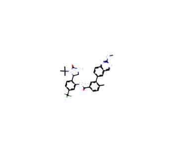 CNc1ncc2cc(-c3cc(C(=O)Nc4cc(C(F)(F)F)ccc4C4CNC(=O)N4C(C)(C)C)ccc3C)ccc2n1